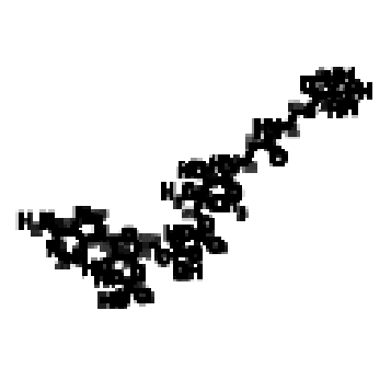 [2H]C([2H])([2H])C([2H])([2H])C(=O)SCCNC(=O)CCNC(=O)[C@H](O)C(C)(C)COP(=O)(O)OP(=O)(O)OC[C@H]1O[C@@H](n2cnc3c(N)ncnc32)[C@H](O)[C@@H]1OP(=O)(O)O